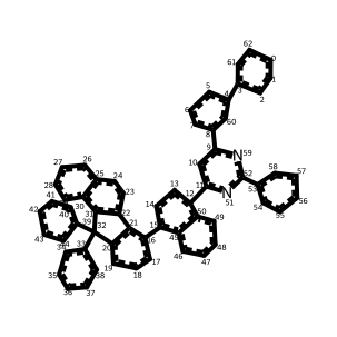 c1ccc(-c2cccc(-c3cc(-c4ccc(-c5cccc6c5-c5ccc7ccccc7c5C6(c5ccccc5)c5ccccc5)c5ccccc45)nc(-c4ccccc4)n3)c2)cc1